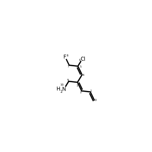 C=C/C=C(\C=C(\Cl)CF)CN